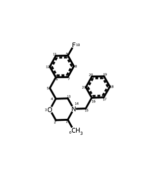 CC1COC(Cc2ccc(F)cc2)CN1Cc1ccccc1